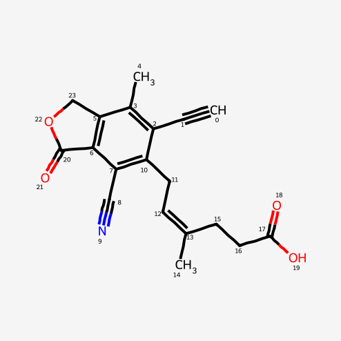 C#Cc1c(C)c2c(c(C#N)c1CC=C(C)CCC(=O)O)C(=O)OC2